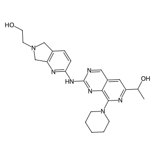 CC(O)c1cc2cnc(Nc3ccc4c(n3)CN(CCO)C4)nc2c(N2CCCCC2)n1